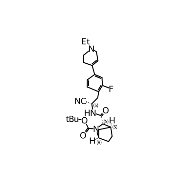 CCN1CC=C(c2ccc(C[C@@H](C#N)NC(=O)[C@@H]3[C@H]4CC[C@H](C4)N3C(=O)OC(C)(C)C)c(F)c2)CC1